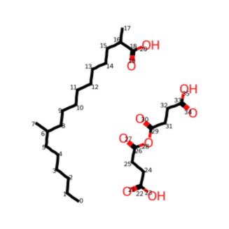 CCCCCCC(C)CCCCCCCCC(C)C(=O)O.O=C(O)CCC(=O)OC(=O)CCC(=O)O